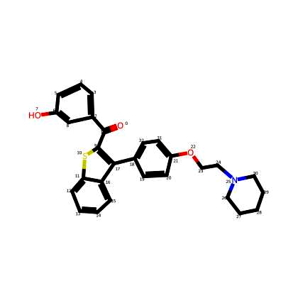 O=C(c1cccc(O)c1)c1sc2ccccc2c1-c1ccc(OCCN2CCCCC2)cc1